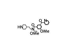 COCCN(CCC1CCNCC1)C(=O)c1cc(OC)cc(C(=O)c2ccccn2)c1